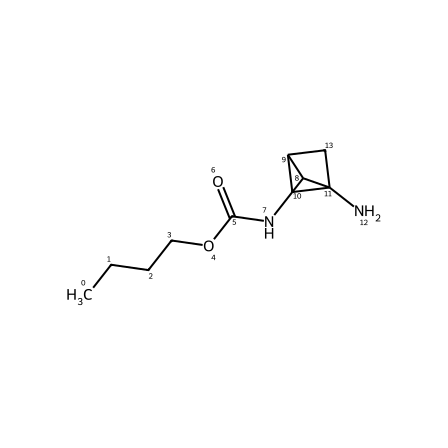 CCCCOC(=O)NC1C2CC1(N)C2